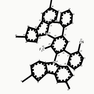 Cc1ccc2c(c1)c1cc(C)ccc1n2-c1c(-c2ccccc2C#N)cc(-c2ccccc2C#N)c(-n2c3ccc(C)cc3c3cc(C)ccc32)c1C(F)(F)F